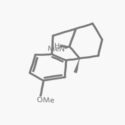 CN[C@@H]1C2CCC[C@]1(C)c1cc(OC)ccc1C2